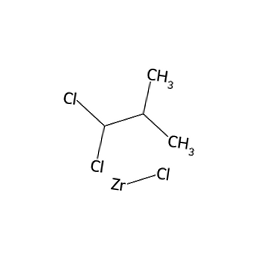 CC(C)C(Cl)Cl.[Cl][Zr]